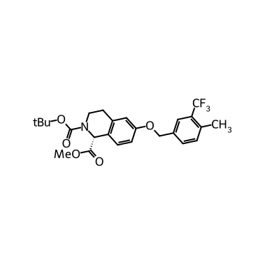 COC(=O)[C@H]1c2ccc(OCc3ccc(C)c(C(F)(F)F)c3)cc2CCN1C(=O)OC(C)(C)C